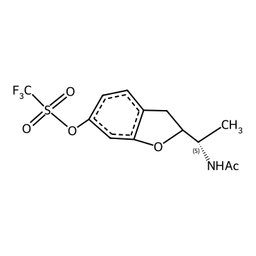 CC(=O)N[C@@H](C)C1Cc2ccc(OS(=O)(=O)C(F)(F)F)cc2O1